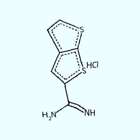 Cl.N=C(N)c1cc2ccsc2s1